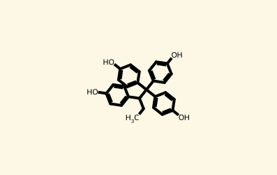 CCC(c1ccc(O)cc1)C(c1ccc(O)cc1)(c1ccc(O)cc1)c1ccc(O)cc1